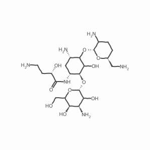 NCC[C@H](O)C(=O)N[C@@H]1C[C@H](N)C(O[C@H]2O[C@H](CN)CCC2N)C(O)[C@H]1O[C@H]1OC(CO)[C@H](O)[C@H](N)C1O